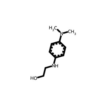 CN(C)c1ccc(NCCO)cc1